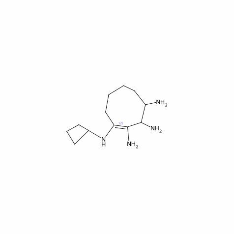 N/C1=C(\NC2CCC2)CCCCC(N)C1N